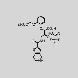 CCOC(=O)COc1ccccc1OC(C(=O)O)C(=O)CNC(=O)c1cc2c(s1)CCNC2.O=C(O)C(F)(F)F